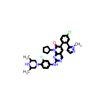 CC1CN(c2ccc(Nc3ncc4cc(-c5ccc(Cl)cc5-c5ccnn5C)c(=O)n(C5CCCC5)c4n3)cc2F)CC(C)N1